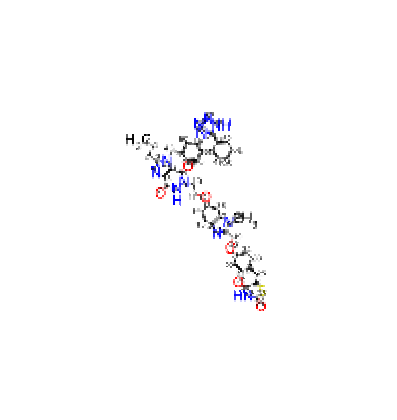 CCCc1nc2c(=O)[nH]n(CCOc3ccc4nc(COc5ccc(CC6SC(=O)NC6=O)cc5)n(C)c4c3)c(=O)c2n1Cc1ccc(-c2ccccc2-c2nnn[nH]2)cc1